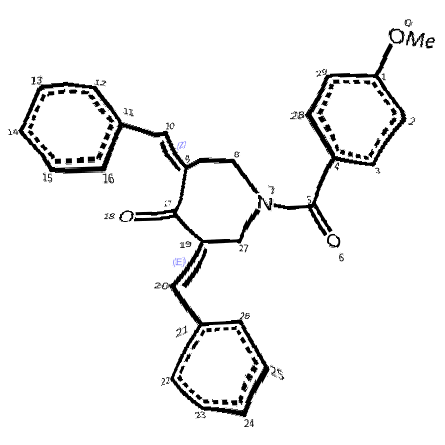 COc1ccc(C(=O)N2C/C(=C/c3ccccc3)C(=O)/C(=C/c3ccccc3)C2)cc1